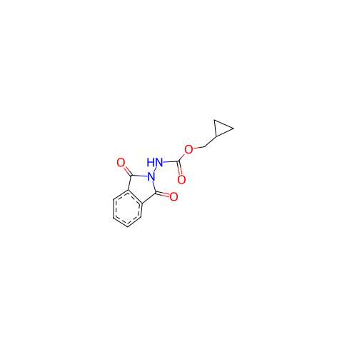 O=C(NN1C(=O)c2ccccc2C1=O)OCC1CC1